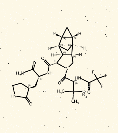 CC(C)(C)[C@H](NC(=O)C(F)(F)F)C(=O)N1C[C@@H]2[C@H]3C[C@H]([C@@H]4C[C@@H]43)[C@@H]2[C@H]1C(=O)N[C@@H](C[C@@H]1CCNC1=O)C(N)=O